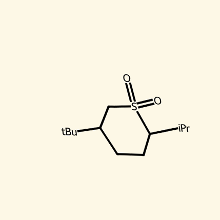 CC(C)C1CCC(C(C)(C)C)CS1(=O)=O